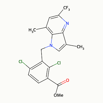 COC(=O)c1ccc(Cl)c(Cn2cc(C)c3nc(C(F)(F)F)cc(C)c32)c1Cl